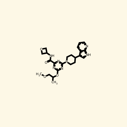 COCC(C)Oc1nc(C(=O)NC2COC2)nc(N2CCC(c3c[nH]c4ncccc34)CC2)n1